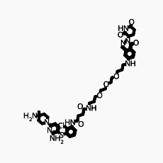 CC1(N)CCN(c2ccc(Sc3cccc(NC(=O)CCC(=O)NCCCOCCOCCOCCCNc4ccc5c(=O)n(C6CCC(=O)NC6=O)ncc5c4)c3Cl)c(N)n2)CC1